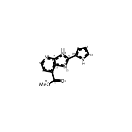 COC(=O)c1ccnc2[nH]c(-c3cccs3)nc12